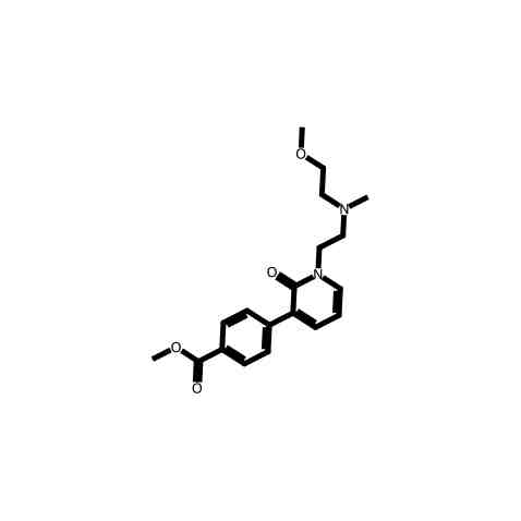 COCCN(C)CCn1cccc(-c2ccc(C(=O)OC)cc2)c1=O